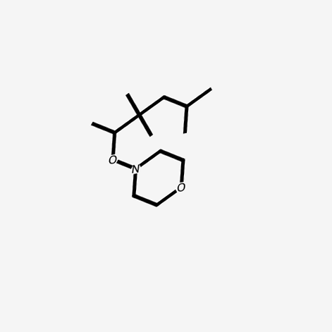 CC(C)CC(C)(C)C(C)ON1CCOCC1